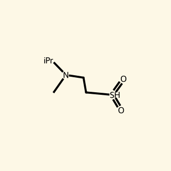 CC(C)N(C)CC[SH](=O)=O